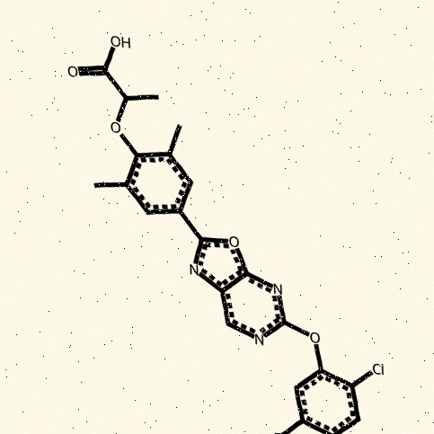 Cc1cc(-c2nc3cnc(Oc4cc(F)ccc4Cl)nc3o2)cc(C)c1OC(C)C(=O)O